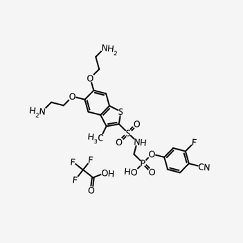 Cc1c(S(=O)(=O)NCP(=O)(O)Oc2ccc(C#N)c(F)c2)sc2cc(OCCN)c(OCCN)cc12.O=C(O)C(F)(F)F